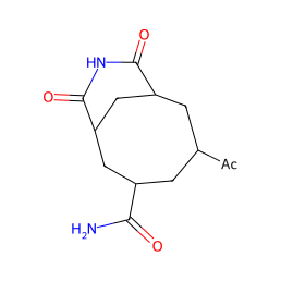 CC(=O)C1CC(C(N)=O)CC2CC(C1)C(=O)NC2=O